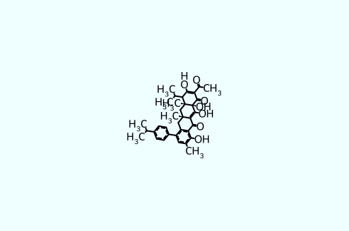 CC(=O)C1=C(O)C(C(C)C)[C@@]2(C)C[C@@]3(C)Cc4c(-c5ccc(C(C)C)cc5)cc(C)c(O)c4C(=O)C3=C(O)[C@@]2(O)C1=O